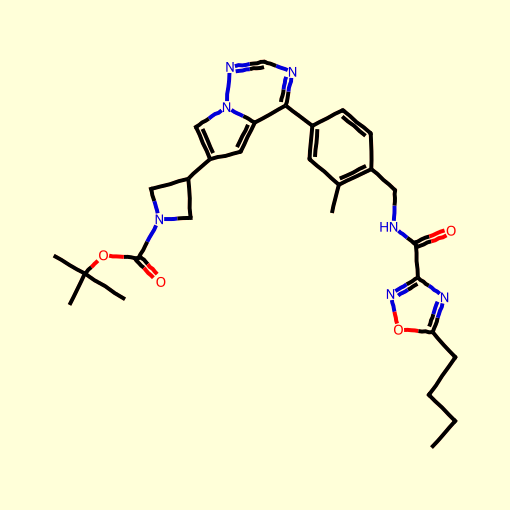 CCCCc1nc(C(=O)NCc2ccc(-c3ncnn4cc(C5CN(C(=O)OC(C)(C)C)C5)cc34)cc2C)no1